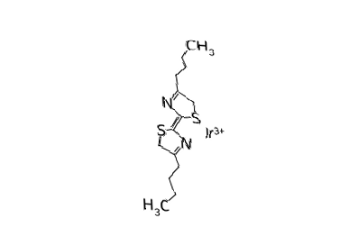 CCCCC1=NC(=C2N=C(CCCC)CS2)SC1.[Ir+3]